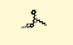 CCCCB(O)OC1CCC(/C=C/C(CCc2ccccc2)OC(=O)CCCCCBr)C1